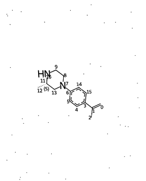 C=C(C)c1ccc(N2CCN[C@@H](C)C2)cc1